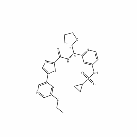 CCOc1cncc(-c2cnc(C(=O)N[C@H](c3cc(NS(=O)(=O)C4CC4)ccn3)[C@@H]3CCCO3)s2)n1